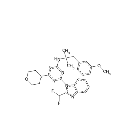 COc1cccc(CC(C)(C)Nc2nc(N3CCOCC3)nc(-n3c(C(F)F)nc4ccccc43)n2)c1